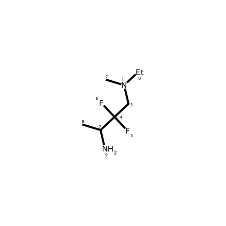 CCN(C)CC(F)(F)C(C)N